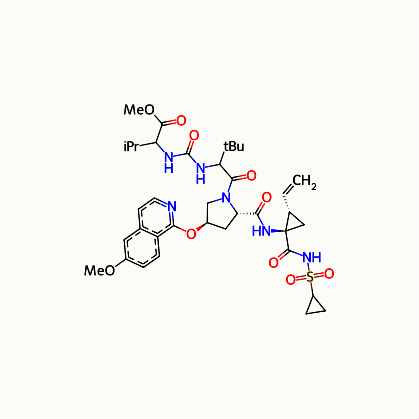 C=C[C@@H]1C[C@]1(NC(=O)[C@@H]1C[C@@H](Oc2nccc3cc(OC)ccc23)CN1C(=O)C(NC(=O)NC(C(=O)OC)C(C)C)C(C)(C)C)C(=O)NS(=O)(=O)C1CC1